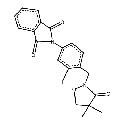 CC1(C)CON(Cc2ccc(N3C(=O)c4ccccc4C3=O)cc2I)C1=O